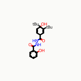 CC(C)(C)C1=CC(C(=O)NNC(=O)c2ccccc2O)C=CC1(O)C(C)(C)C